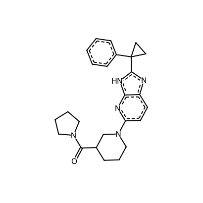 O=C(C1CCCN(c2ccc3nc(C4(c5ccccc5)CC4)[nH]c3n2)C1)N1CCCC1